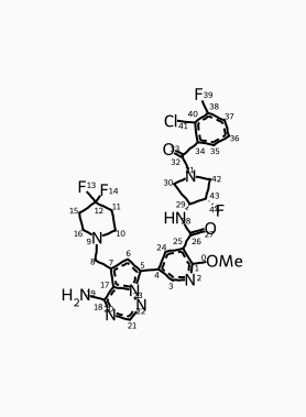 COc1ncc(-c2cc(CN3CCC(F)(F)CC3)c3c(N)ncnn23)cc1C(=O)N[C@@H]1CN(C(=O)c2cccc(F)c2Cl)C[C@@H]1F